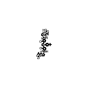 COC(=O)N[C@H](C(=O)N1CCC[C@H]1c1nc2c(Cl)c(C3CCC(c4ccc5[nH]c([C@@H]6CCCN6C(=O)[C@@H](NC(=O)O)C(C)C)nc5c4Cl)N3c3ccc(C(C)(C)C)cc3)ccc2[nH]1)C(C)C